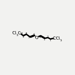 ClC(Cl)(Cl)CCC=COC=CCCC(Cl)(Cl)Cl